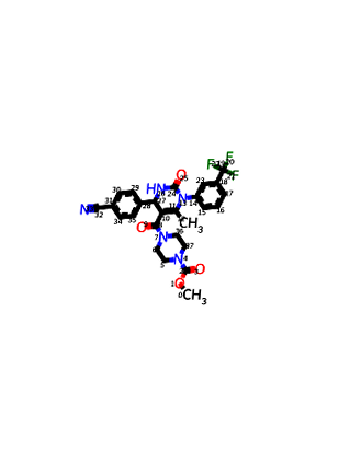 COC(=O)N1CCN(C(=O)C2=C(C)N(c3cccc(C(F)(F)F)c3)C(=O)NC2c2ccc(C#N)cc2)CC1